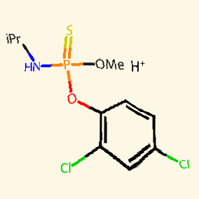 COP(=S)(NC(C)C)Oc1ccc(Cl)cc1Cl.[H+]